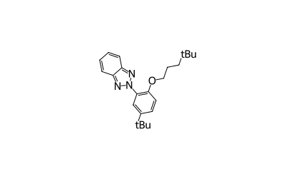 CC(C)(C)CCCOc1ccc(C(C)(C)C)cc1-n1nc2ccccc2n1